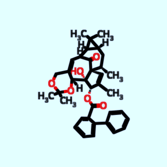 CC1=C[C@]23C(=O)[C@@H](C=C4COC(C)(C)O[C@H]4[C@]2(O)[C@H]1OC(=O)c1ccccc1-c1ccccc1)[C@H]1[C@@H](C[C@H]3C)C1(C)C